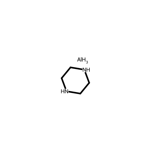 C1CNCCN1.[AlH3]